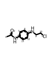 CC(=O)Nc1ccc(NCCCl)cc1